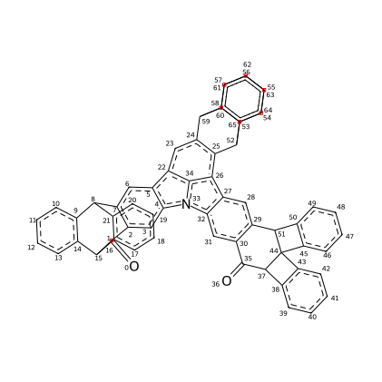 O=C1c2cc3c(cc2C2c4ccccc4C1c1ccccc12)c1cc2c(c4c5cc6c(cc5n3c14)C(=O)C1c3ccccc3C13c1ccccc1C63)C1c3ccccc3C2c2ccccc21